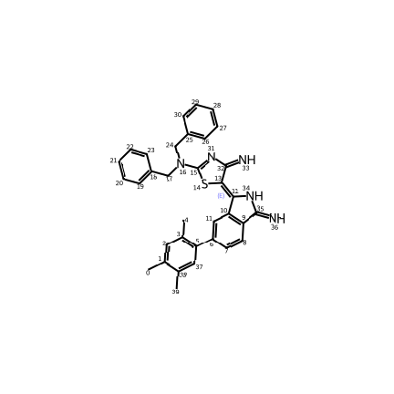 Cc1cc(C)c(-c2ccc3c(c2)/C(=C2\SC(N(Cc4ccccc4)Cc4ccccc4)=NC2=N)NC3=N)cc1C